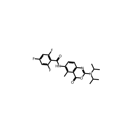 Cc1c(NC(=O)c2c(F)cc(F)cc2F)ccc2nc(N(C(C)C)C(C)C)oc(=O)c12